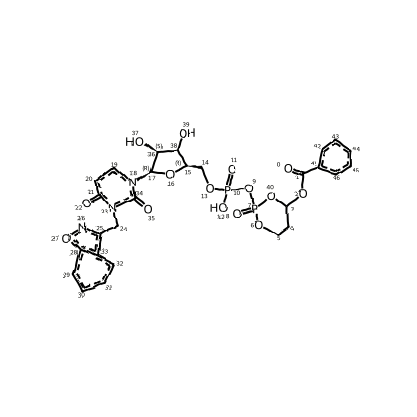 O=C(OC1CCOP(=O)(OP(=O)(O)OC[C@H]2O[C@@H](n3ccc(=O)n(Cc4noc5ccccc45)c3=O)[C@@H](O)C2O)O1)c1ccccc1